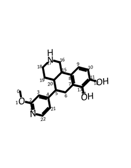 COc1cc(C2Cc3c(ccc(O)c3O)C3CNCCC23)ccn1